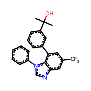 CC(C)(O)c1cccc(-c2cc(C(F)(F)F)cc3ncn(-c4ccccc4)c23)c1